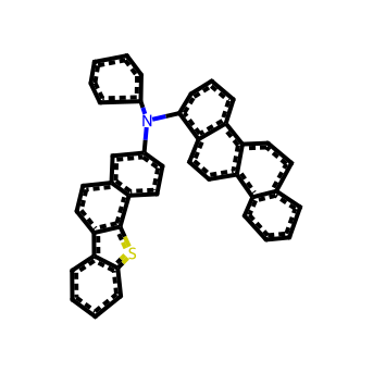 c1ccc(N(c2ccc3c(ccc4c5ccccc5sc34)c2)c2cccc3c2ccc2c4ccccc4ccc32)cc1